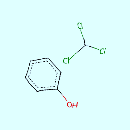 ClC(Cl)Cl.Oc1ccccc1